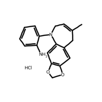 CC1=CCN(c2ccccc2N)c2cc3c(cc2C1)OCO3.Cl